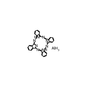 [AlH3].c1ccc2c(c1)-c1nc-2nc2[nH]c(nc3nc(nc4[nH]c(n1)c1ccccc41)-c1ccccc1-3)c1ccccc21